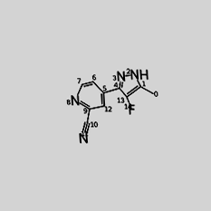 Cc1[nH]nc(-c2ccnc(C#N)c2)c1F